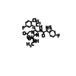 CNC(=O)c1nc(NC(=O)c2nsc3cc(F)ccc23)c([C@@H](C)c2cc(F)ccc2Cl)n1CC(C)=O